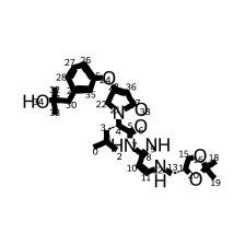 CC(C)C[C@@H](C(=O)NC(=N)/C=C\NC[C@@H]1COC(C)(C)O1)N1CC(Oc2cccc(CC(C)(C)O)c2)=CC1=O